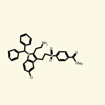 COC(=O)c1ccc(S(=O)(=O)CCc2c(CCN)n(C(c3ccccc3)c3ccccc3)c3ccc(Cl)cc23)cc1